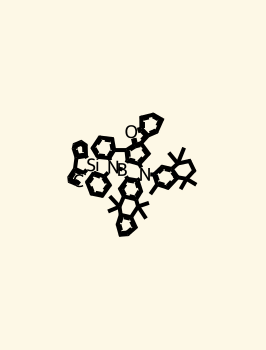 Cc1cc2c(cc1N1c3cc4c(cc3B3c5c1cc1c(oc6ccccc61)c5-c1cccc5c1N3c1ccccc1[Si]51c3ccccc3-c3ccccc31)C(C)(C)c1ccccc1C4(C)C)C(C)(C)CCC2(C)C